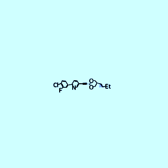 CC/C=C/[C@H]1CO[C@H](C#Cc2ccc(-c3ccc(Cl)c(F)c3)nc2)OC1